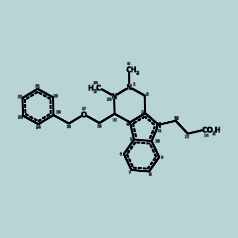 CN1Cc2c(c3ccccc3n2CCC(=O)O)C(COCc2ccccc2)N1C